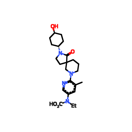 CCN(C(=O)O)c1cnc(N2CCCC3(CCN([C@H]4CC[C@H](O)CC4)C3=O)C2)c(C)c1